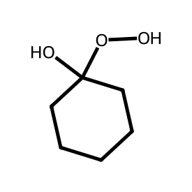 OOC1(O)CCCCC1